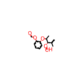 C=C(C)C(OO)C(C)Oc1ccccc1OC=O